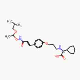 CC(C)COC(C)ONC(=O)C=Cc1ccc(OCCCN[C@H](C(=O)O)C2CCCCC2)cc1